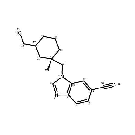 C[C@]1(Cn2cnc3ccc(C#N)cc32)CCCC(CO)C1